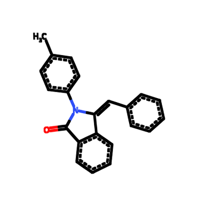 Cc1ccc(N2C(=O)c3ccccc3C2=Cc2ccccc2)cc1